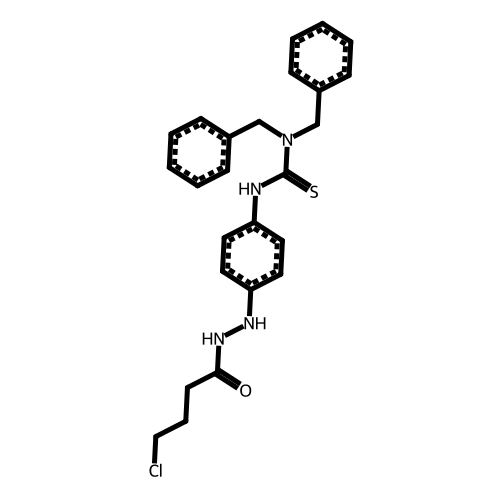 O=C(CCCCl)NNc1ccc(NC(=S)N(Cc2ccccc2)Cc2ccccc2)cc1